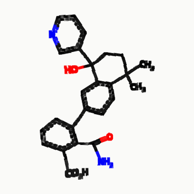 CC1(C)CCC(O)(c2cccnc2)c2cc(-c3cccc(C(=O)O)c3C(N)=O)ccc21